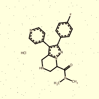 CN(C)C(=O)C1CNCc2c(-c3ccncc3)c(-c3ccc(F)cc3)nn21.Cl